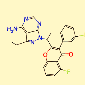 CCc1nn(C(C)c2oc3cccc(F)c3c(=O)c2-c2cccc(F)c2)c2ncnc(N)c12